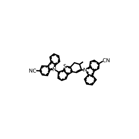 CC1Cc2sc3c(-n4c5ccccc5c5cc(C#N)ccc54)cccc3c2C=C1n1c2ccccc2c2cc(C#N)ccc21